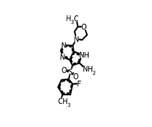 Cc1ccc(S(=O)(=O)c2c(N)[nH]c3c(N4CCOC(C)C4)ncnc23)c(F)c1